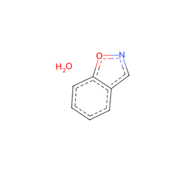 O.c1ccc2oncc2c1